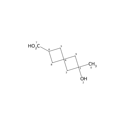 CC1(O)CC2(CC(C(=O)O)C2)C1